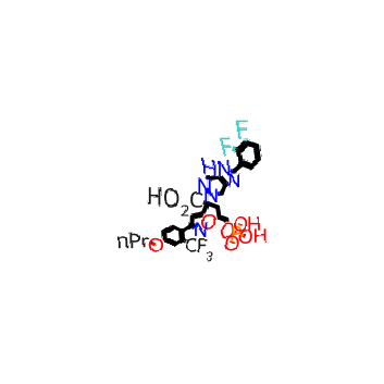 CCCOc1ccc(-c2cc(C(CCCOP(=O)(O)O)(C(=O)O)N3Cc4nc(-c5cccc(F)c5F)[nH]c4C=N3)on2)c(C(F)(F)F)c1